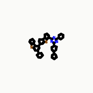 c1ccc(-c2ccc(-c3nc(-c4ccccc4)nc(-c4cccc5c4sc4cc(-c6cc(-c7ccccc7)cc7sc8ccccc8c67)ccc45)n3)cc2)cc1